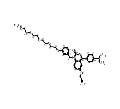 C#CCOc1ccc2c(c1)c(-c1ccc(C(C)C)cc1)nc(=O)n2Cc1cccc(OCCOCCOCCOCCOC)c1